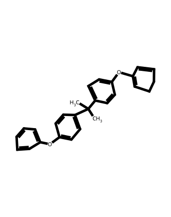 CC(C)(c1ccc(OC2=CCCC=C2)cc1)c1ccc(Oc2ccccc2)cc1